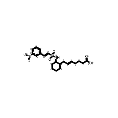 O=C(O)CCCC=CCC1CCCCC1NS(=O)(=O)C=Cc1cccc([N+](=O)[O-])c1